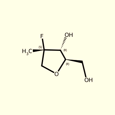 C[C@]1(F)CO[C@H](CO)[C@H]1O